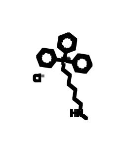 CNCCCCCC[P+](c1ccccc1)(c1ccccc1)c1ccccc1.[Cl-]